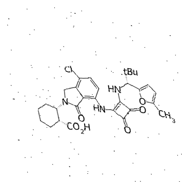 Cc1ccc([C@H](Nc2c(Nc3ccc(Cl)c4c3C(=O)N([C@H]3CCCC[C@H]3C(=O)O)C4)c(=O)c2=O)C(C)(C)C)o1